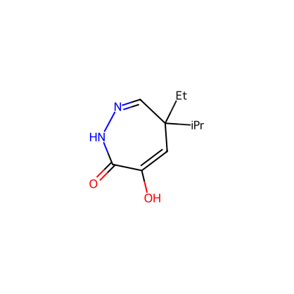 CCC1(C(C)C)C=NNC(=O)C(O)=C1